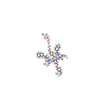 C=CC(=O)OCCCCCCOc1ccc(C(=O)Oc2c(/C=N/N(C(=O)C=C)c3nc(-c4ccc5ccccc5c4)cs3)cc(COc3ccc(C=C)cc3)cc2/C=N/N(C(=O)C=C)c2nc(-c3ccc4ccccc4c3)cs2)cc1